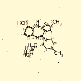 Cc1cc2c(s1)Nc1ccccc1N=C2N1CCN(C)CC1.Cl.Cl.O.O.O